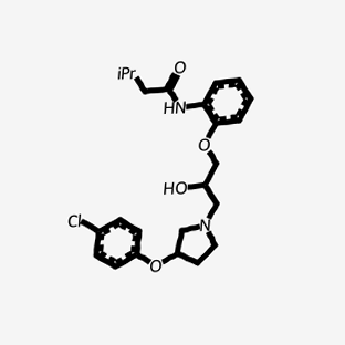 CC(C)CC(=O)Nc1ccccc1OCC(O)CN1CCC(Oc2ccc(Cl)cc2)C1